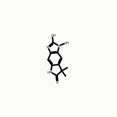 CCCn1c(O)nc2cc3c(cc21)C(C)(C)C(=O)N3